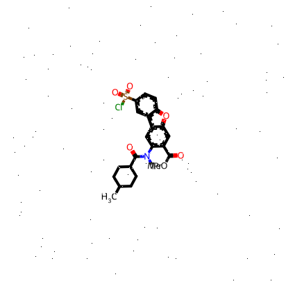 COC(=O)c1cc2oc3ccc(S(=O)(=O)Cl)cc3c2cc1N(C(=O)C1CCC(C)CC1)C(C)C